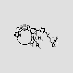 CC1(C)C[C@H]2CCCCn3ccc(n3)S(=O)(=O)NC(=O)c3ccc(-n4ccc(OCCCC5(C(F)(F)F)CC5)n4)nc3N1C2